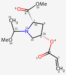 C=CC(=O)O[C@H]1C[C@@H](C(=O)OC)N(C(C)OC)C1